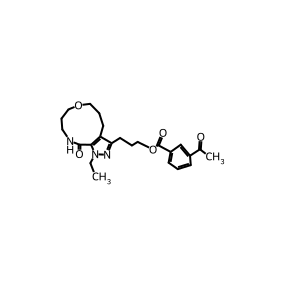 CCn1nc(CCCOC(=O)c2cccc(C(C)=O)c2)c2c1C(=O)NCCCOCCC2